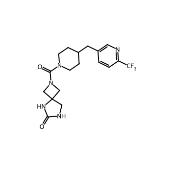 O=C1NCC2(CN(C(=O)N3CCC(Cc4ccc(C(F)(F)F)nc4)CC3)C2)N1